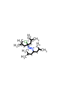 CC(C)CC(CC(C)C)N=NC(Cl)(CC(C)C)CC(C)C